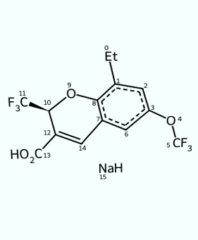 CCc1cc(OC(F)(F)F)cc2c1O[C@H](C(F)(F)F)C(C(=O)O)=C2.[NaH]